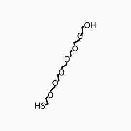 OCCOCCOCCOCCOCCOCCOCCS